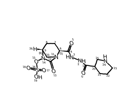 O=C(NNC(=O)[C@@H]1CC[C@@H]2CN1C(=O)N2OS(=O)(=O)O)C1CCCNC1